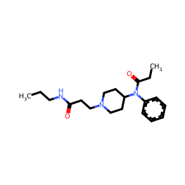 CCCNC(=O)CCN1CCC(N(C(=O)CC)c2ccccc2)CC1